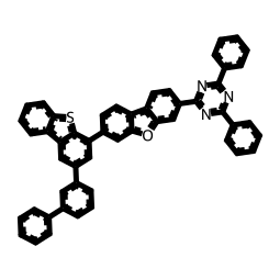 c1ccc(-c2cccc(-c3cc(-c4ccc5c(c4)oc4cc(-c6nc(-c7ccccc7)nc(-c7ccccc7)n6)ccc45)c4sc5ccccc5c4c3)c2)cc1